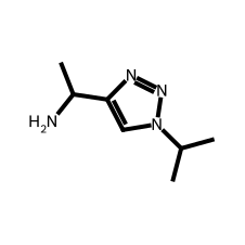 CC(N)c1cn(C(C)C)nn1